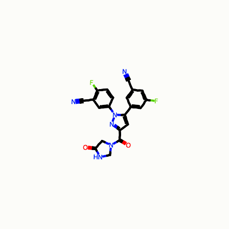 N#Cc1cc(F)cc(-c2cc(C(=O)N3CNC(=O)C3)nn2-c2ccc(F)c(C#N)c2)c1